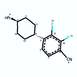 CCC[C@H]1CC[C@H](c2ccc(C#N)c(F)c2F)CC1